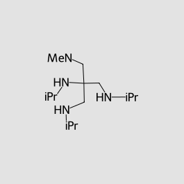 CNCC(CNC(C)C)(CNC(C)C)NC(C)C